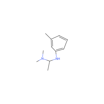 Cc1cccc(NC(C)N(C)C)c1